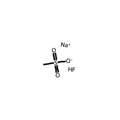 CS(=O)(=O)[O-].F.[Na+]